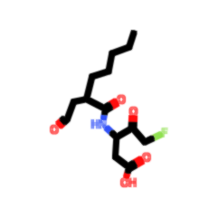 CCCCCC(CC=O)C(=O)NC(CC(=O)O)C(=O)CF